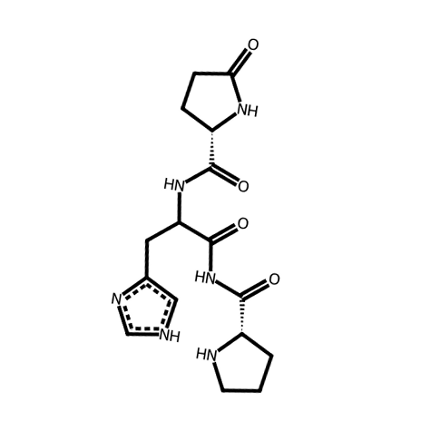 O=C1CC[C@@H](C(=O)NC(Cc2c[nH]cn2)C(=O)NC(=O)[C@@H]2CCCN2)N1